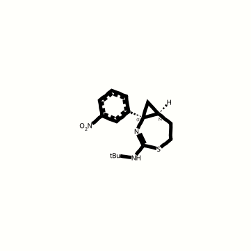 CC(C)(C)NC1=N[C@@]2(c3cccc([N+](=O)[O-])c3)C[C@H]2CCS1